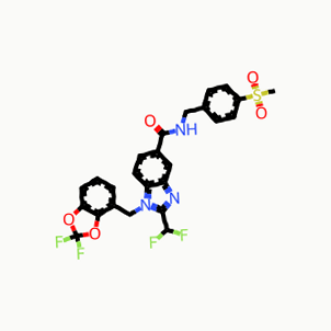 CS(=O)(=O)c1ccc(CNC(=O)c2ccc3c(c2)nc(C(F)F)n3Cc2cccc3c2OC(F)(F)O3)cc1